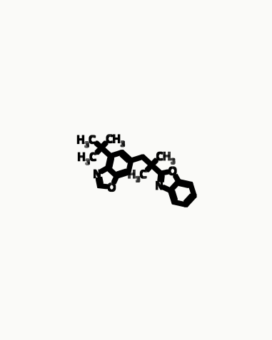 CC(C)(C)c1cc(CC(C)(C)c2nc3ccccc3o2)cc2ocnc12